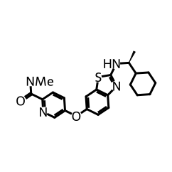 CNC(=O)c1ccc(Oc2ccc3nc(N[C@@H](C)C4CCCCC4)sc3c2)cn1